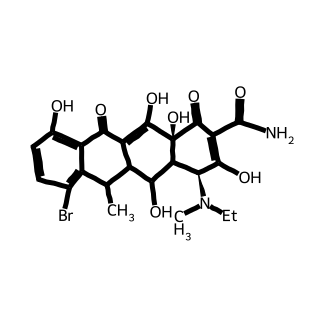 CCN(C)[C@@H]1C(O)=C(C(N)=O)C(=O)[C@@]2(O)C(O)=C3C(=O)c4c(O)ccc(Br)c4C(C)C3C(O)C12